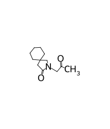 CC(=O)CN1CC2(CCCCC2)CC1=O